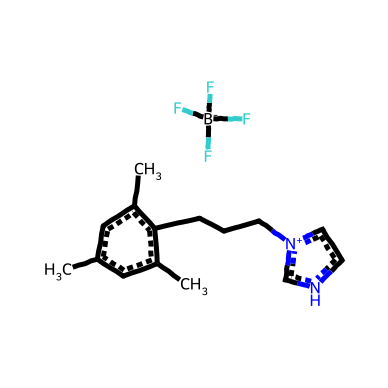 Cc1cc(C)c(CCC[n+]2cc[nH]c2)c(C)c1.F[B-](F)(F)F